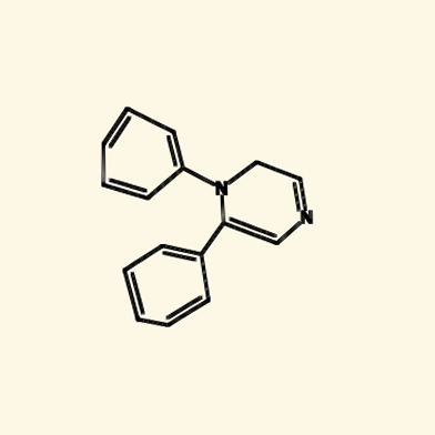 C1=NC=C(c2ccccc2)N(c2ccccc2)C1